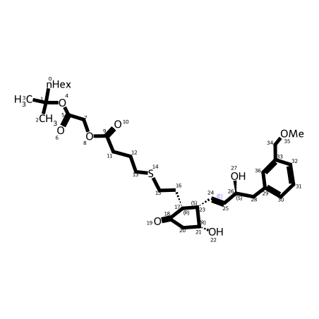 CCCCCCC(C)(C)OC(=O)COC(=O)CCCSCC[C@H]1C(=O)C[C@@H](O)[C@H]1/C=C/[C@@H](O)Cc1cccc(COC)c1